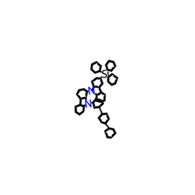 c1ccc(-c2ccc(-c3cccc(-n4c5ccccc5c5cccc(-n6c7ccccc7c7cc([Si](c8ccccc8)(c8ccccc8)c8ccccc8)ccc76)c54)c3)cc2)cc1